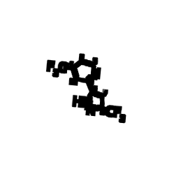 FC(F)(F)c1ccnc(-c2cc(C(F)(F)F)n[nH]2)c1